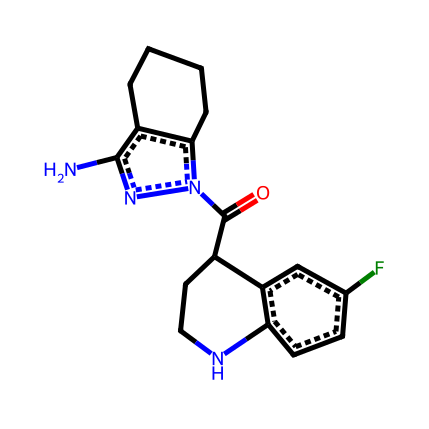 Nc1nn(C(=O)C2CCNc3ccc(F)cc32)c2c1CCCC2